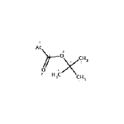 CC(=O)C(=O)OC(C)(C)C